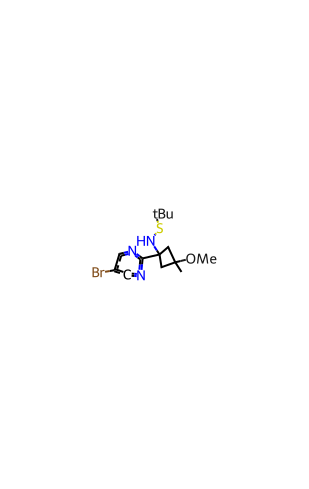 COC1(C)CC(NSC(C)(C)C)(c2ncc(Br)cn2)C1